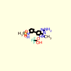 CNc1nc(N)nc2cc(-c3cccc(NS(C)(=O)=O)c3)ccc12.O=C(O)C(F)(F)F